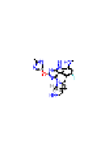 CNc1cc(F)c2c3c1[nH]c1nc(Oc4cnc(C)nc4)nc(c13)N1[C@H]3CNCC[C@H]3[C@@H]1C2